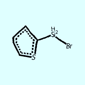 Br[SiH2]c1cccs1